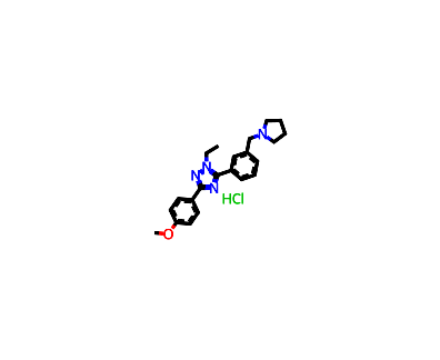 CCn1nc(-c2ccc(OC)cc2)nc1-c1cccc(CN2CCCC2)c1.Cl